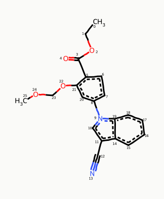 CCOC(=O)c1ccc(-n2cc(C#N)c3ccccc32)cc1OCOC